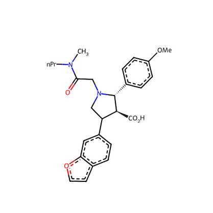 CCCN(C)C(=O)CN1CC(c2ccc3ccoc3c2)[C@H](C(=O)O)[C@H]1c1ccc(OC)cc1